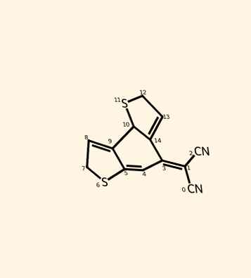 N#CC(C#N)=C1C=C2SCC=C2C2SCC=C12